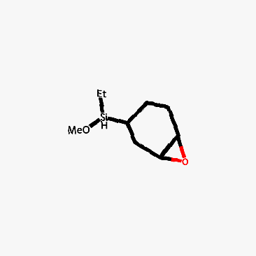 CC[SiH](OC)C1CCC2OC2C1